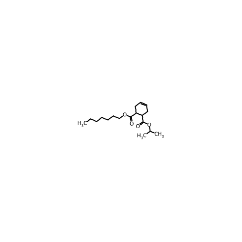 CCCCCCCOC(=O)C1CC=CCC1C(=O)OC(C)C